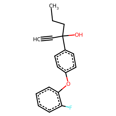 C#CC(O)(CCC)c1ccc(Oc2ccccc2F)cc1